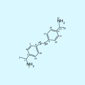 CC(N)c1ccc(SSc2ccc(C(C)N)cc2)cc1